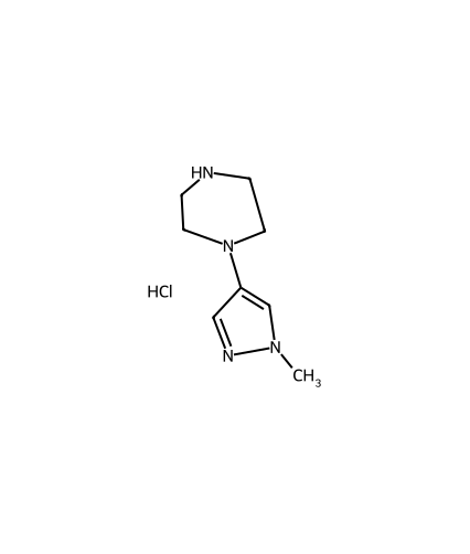 Cl.Cn1cc(N2CCNCC2)cn1